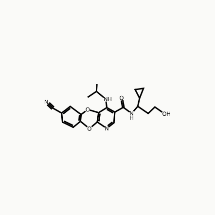 CC(C)Nc1c(C(=O)NC(CCO)C2CC2)cnc2c1Oc1cc(C#N)ccc1O2